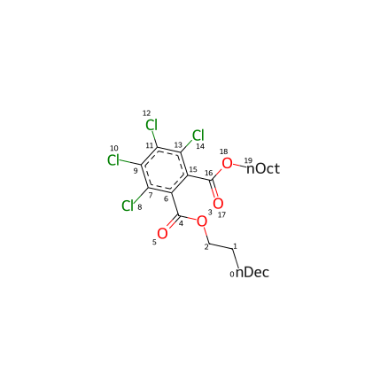 CCCCCCCCCCCCOC(=O)c1c(Cl)c(Cl)c(Cl)c(Cl)c1C(=O)OCCCCCCCC